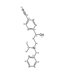 CC(C)N(CCC(O)c1ccc(C#N)cc1)Cc1ccccc1